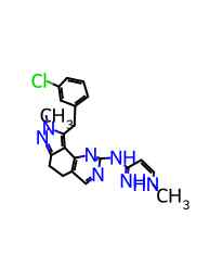 CN/C=C\C(=N)Nc1ncc2c(n1)-c1c(nn(C)c1Cc1cccc(Cl)c1)CC2